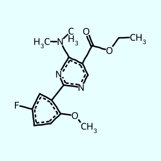 CCOC(=O)c1cnc(-c2cc(F)ccc2OC)nc1N(C)C